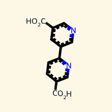 O=C(O)c1ccc(-c2cncc(C(=O)O)c2)nc1